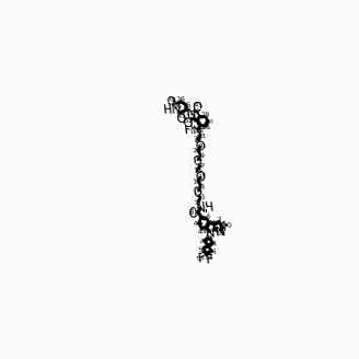 Cn1cc2c3cc(C(=O)NCCOCCOCCOCCOCCNc4cccc5c4C(=O)N(C4CCC(=O)NC4=O)C5=O)ccc3n(C3CC4(C3)CC(F)(F)C4)c2n1